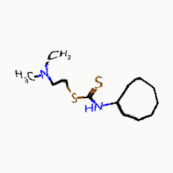 CN(C)CCSC(=S)NC1CCCCCCC1